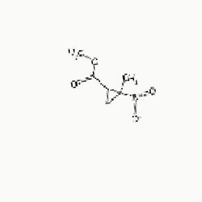 COC(=O)C1CC1(C)[N+](=O)[O-]